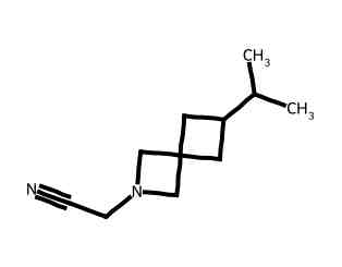 CC(C)C1CC2(C1)CN(CC#N)C2